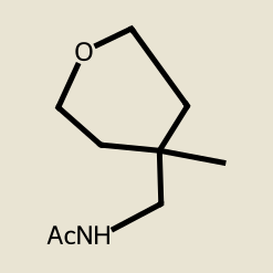 CC(=O)NCC1(C)CCOCC1